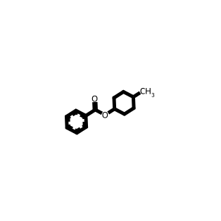 CC1CCC(OC(=O)c2ccccc2)CC1